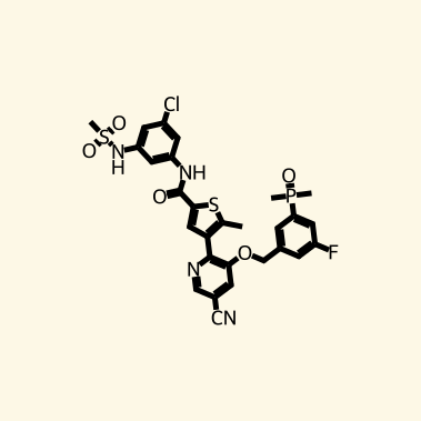 Cc1sc(C(=O)Nc2cc(Cl)cc(NS(C)(=O)=O)c2)cc1-c1ncc(C#N)cc1OCc1cc(F)cc(P(C)(C)=O)c1